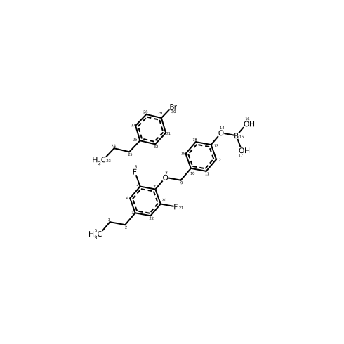 CCCc1cc(F)c(OCc2ccc(OB(O)O)cc2)c(F)c1.CCCc1ccc(Br)cc1